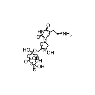 NC=CCc1cn([C@H]2C[C@H](O)[C@@H](COP(=O)(O)OP(=O)(O)OP(=O)(O)O)O2)c(=O)[nH]c1=O